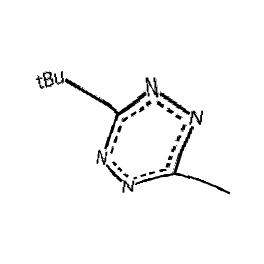 Cc1nnc(C(C)(C)C)nn1